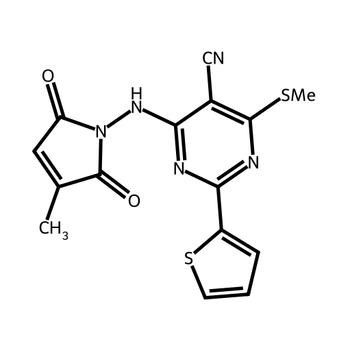 CSc1nc(-c2cccs2)nc(NN2C(=O)C=C(C)C2=O)c1C#N